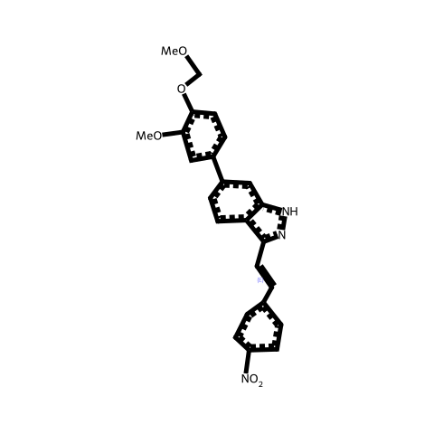 COCOc1ccc(-c2ccc3c(/C=C/c4ccc([N+](=O)[O-])cc4)n[nH]c3c2)cc1OC